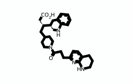 O=C(O)C[C@@H](CC1CCN(C(=O)CCc2ccc3c(n2)NCCC3)CC1)[C@H]1CNc2ccccc2C1